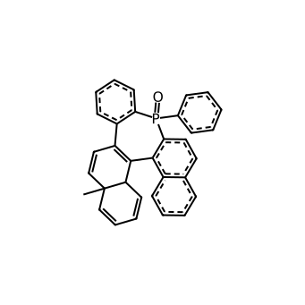 CC12C=CC=CC1C1=C(C=C2)c2ccccc2P(=O)(c2ccccc2)c2ccc3ccccc3c21